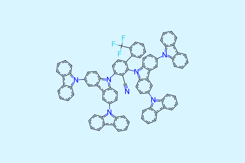 N#Cc1c(-n2c3ccc(-n4c5ccccc5c5ccccc54)cc3c3cc(-n4c5ccccc5c5ccccc54)ccc32)ccc(-c2ccccc2C(F)(F)F)c1-n1c2ccc(-n3c4ccccc4c4ccccc43)cc2c2cc(-n3c4ccccc4c4ccccc43)ccc21